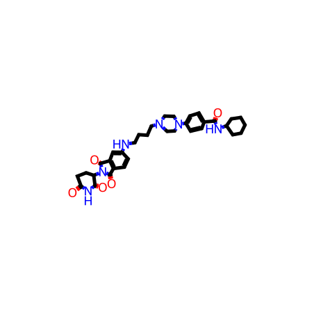 O=C1CCC(N2C(=O)c3ccc(NCCCCN4CCN(c5ccc(C(=O)NC6CCCCC6)cc5)CC4)cc3C2=O)C(=O)N1